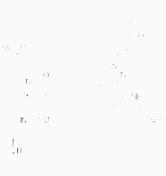 O=C(NCCO)C1=NN(C2CCS(=O)(=O)C2)C(=O)\C1=C/C=C/C=C/c1c(C(=O)NCCO)nn(C2CCS(=O)(=O)C2)c1O